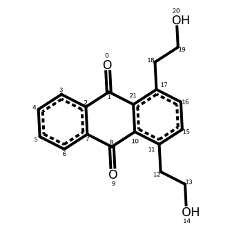 O=C1c2ccccc2C(=O)c2c(CCO)ccc(CCO)c21